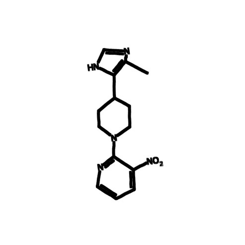 Cc1nc[nH]c1C1CCN(c2ncccc2[N+](=O)[O-])CC1